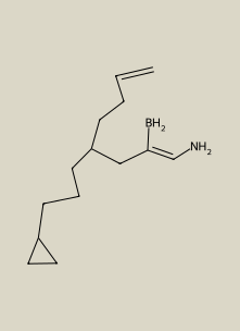 B/C(=C\N)CC(CCC=C)CCCC1CC1